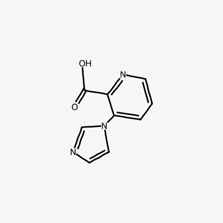 O=C(O)c1ncccc1-n1ccnc1